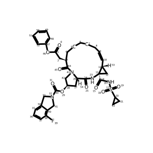 O=C(C[C@H]1CCCCC/C=C\[C@@H]2C[C@@]2(C(=O)NS(=O)(=O)C2CC2)NC(=O)[C@@H]2C[C@@H](OC(=O)N3Cc4cccc(F)c4C3)CN2C1=O)Oc1ccccc1